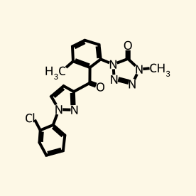 Cc1cccc(-n2nnn(C)c2=O)c1C(=O)c1ccn(-c2ccccc2Cl)n1